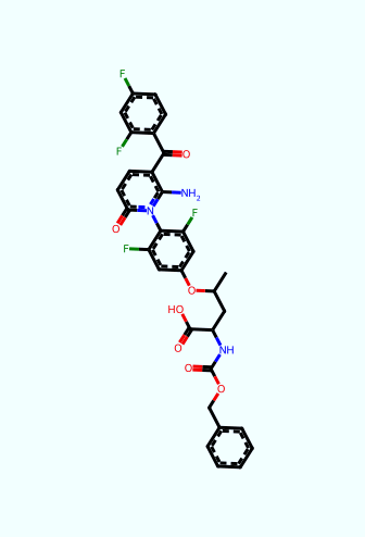 CC(CC(NC(=O)OCc1ccccc1)C(=O)O)Oc1cc(F)c(-n2c(N)c(C(=O)c3ccc(F)cc3F)ccc2=O)c(F)c1